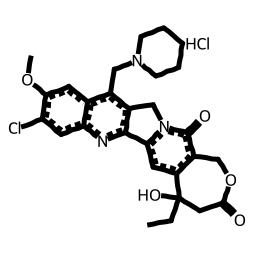 CCC1(O)CC(=O)OCc2c1cc1n(c2=O)Cc2c-1nc1cc(Cl)c(OC)cc1c2CN1CCCCC1.Cl